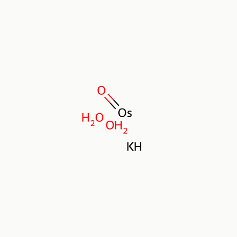 O.O.[KH].[O]=[Os]